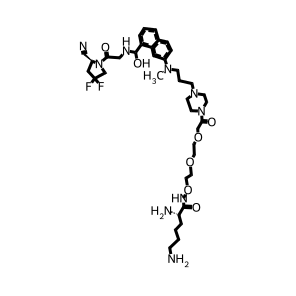 CN(CCCN1CCN(C(=O)COCCOCCONC(=O)[C@@H](N)CCCCN)CC1)c1ccc2cccc(C(O)NCC(=O)N3CC(F)(F)C[C@H]3C#N)c2c1